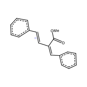 COC(=O)C(=Cc1ccccc1)/C=C/c1ccccc1